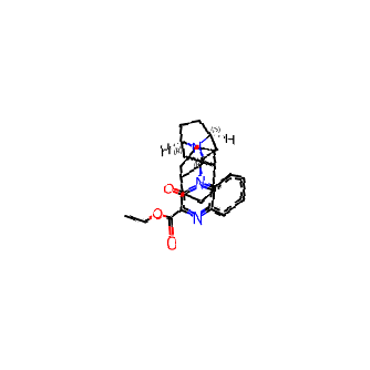 CCOC(=O)c1nc2ccccc2n([C@H]2C[C@H]3CC[C@@H](C2)N3C2C3CCCC2CCC3)c1=O